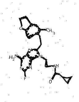 Cc1cc2c(cc1Cc1nc3c(N)nc(F)nc3n1CCNC(=O)C1CC1)OCC2